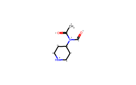 CC(=O)N(C=O)C1CCNCC1